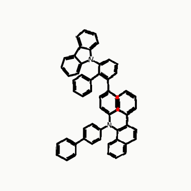 c1ccc(-c2ccc(N(c3ccc(-c4cccc(-n5c6ccccc6c6ccccc65)c4-c4ccccc4)cc3)c3c(-c4ccccc4)ccc4ccccc34)cc2)cc1